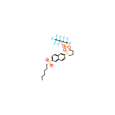 CCCCCCS(=O)(=O)c1ccc2cc(S3(OS(=O)(=O)C(F)(F)C(F)(F)C(F)(F)C(F)(F)F)CCCC3)ccc2c1